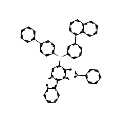 c1ccc(-c2ccc(N(c3cccc(-c4cccc5ccccc45)c3)c3cc4oc5ccccc5c4c4oc(-c5ccccc5)nc34)cc2)cc1